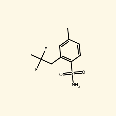 Cc1ccc(S(N)(=O)=O)c(CC(C)(F)F)c1